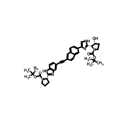 CC(C)(C)OC(=O)N1CC[C@@H](O)[C@H]1c1nc(-c2ccc3cc(C#Cc4ccc5[nH]c([C@@H]6CCCN6C(=O)OC(C)(C)C)nc5c4)ccc3c2)c[nH]1